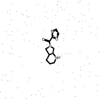 O=C(c1ncco1)N1CC2CCCNC2C1